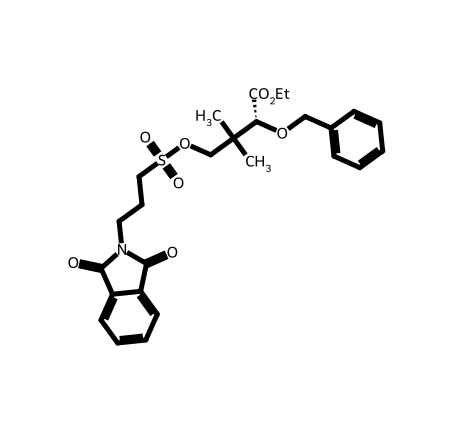 CCOC(=O)[C@H](OCc1ccccc1)C(C)(C)COS(=O)(=O)CCCN1C(=O)c2ccccc2C1=O